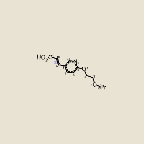 CC(C)OCCOc1ccc(/C=C/C(=O)O)cn1